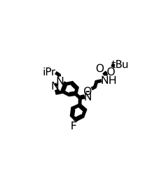 CC(C)Cn1ncc2cc(/C(=N\OCCNC(=O)OC(C)(C)C)c3ccc(F)cc3)ccc21